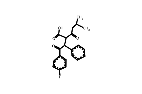 CC(C)CC(=O)C(C(=O)O)C(C(=O)c1ccc(F)cc1)c1ccccc1